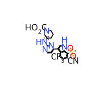 CS(=O)(=O)c1c(C#N)ccc2c(-c3nc(N[C@H]4CCCN(C(=O)O)C4)ncc3C(F)(F)F)c[nH]c12